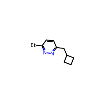 CCc1ccc(CC2CCC2)nn1